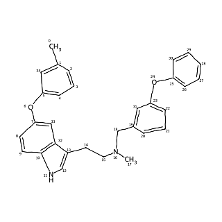 Cc1cccc(Oc2ccc3[nH]cc(CCN(C)Cc4cccc(Oc5ccccc5)c4)c3c2)c1